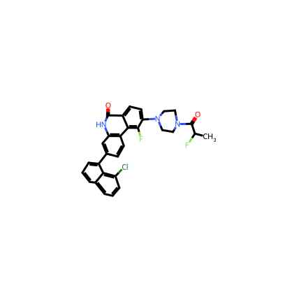 CC(F)C(=O)N1CCN(c2ccc3c(=O)[nH]c4cc(-c5cccc6cccc(Cl)c56)ccc4c3c2F)CC1